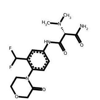 CN(C)[C@H](C(N)=O)C(=O)Nc1ccc(N2CCOCC2=O)c(C(F)F)c1